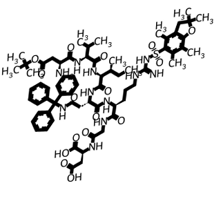 CC[C@H](C)[C@H](NC(=O)[C@@H](NC(=O)[C@@H](N)CC(=O)OC(C)(C)C)C(C)C)C(=O)N[C@@H](CC(=O)NC(c1ccccc1)(c1ccccc1)c1ccccc1)C(=O)N[C@@H](CCCNC(=N)NS(=O)(=O)c1c(C)c(C)c2c(c1C)CC(C)(C)O2)C(=O)NCC(=O)N[C@@H](CC(=O)O)C(=O)O